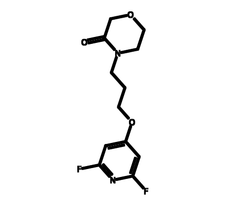 O=C1COCCN1CCCOc1cc(F)nc(F)c1